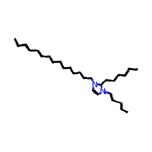 CCCCCCCCCCCCCCCN1C=CN(CCCCC)C1CCCCCC